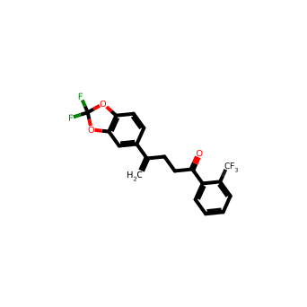 C=C(CCC(=O)c1ccccc1C(F)(F)F)c1ccc2c(c1)OC(F)(F)O2